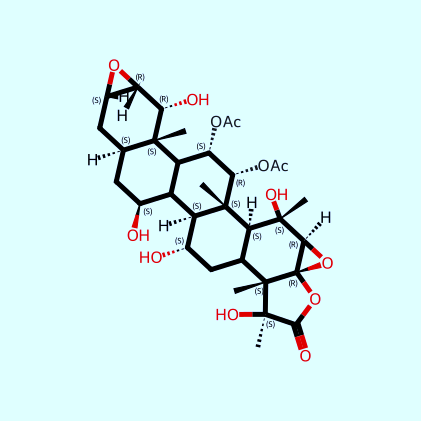 CC(=O)O[C@H]1C2C([C@@H]3[C@@H](O)CC4[C@H]([C@](C)(O)[C@H]5O[C@]56OC(=O)[C@@](C)(O)[C@]46C)[C@@]3(C)[C@H]1OC(C)=O)[C@@H](O)C[C@H]1C[C@@H]3O[C@@H]3[C@H](O)[C@]21C